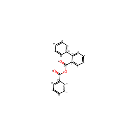 O=C(OC(=O)c1ccccc1-c1ccccc1)c1ccccc1